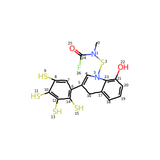 CN(SN1C=C(c2cc(S)c(S)c(S)c2S)Cc2cccc(O)c21)C(=O)F